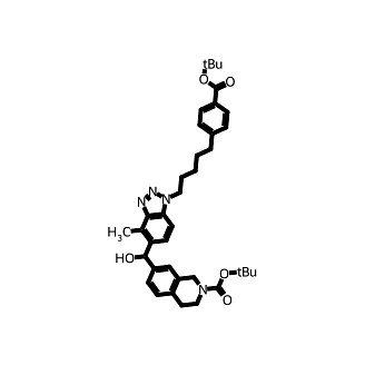 Cc1c(C(O)c2ccc3c(c2)CN(C(=O)OC(C)(C)C)CC3)ccc2c1nnn2CCCCCc1ccc(C(=O)OC(C)(C)C)cc1